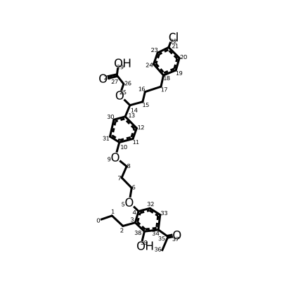 CCCc1c(OCCCOc2ccc(C(CCCc3ccc(Cl)cc3)OCC(=O)O)cc2)ccc(C(C)=O)c1O